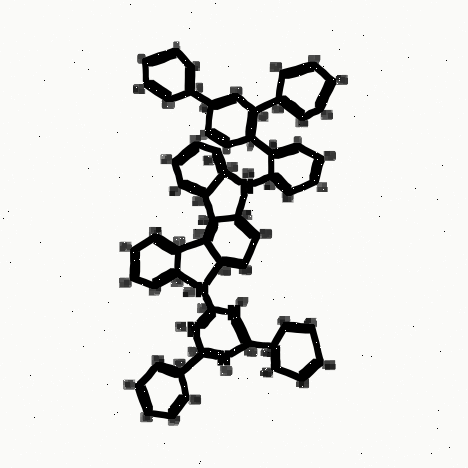 c1ccc(-c2ccc(-c3ccccc3-n3c4ccccc4c4c5c6ccccc6n(-c6nc(-c7ccccc7)nc(-c7ccccc7)n6)c5ccc43)c(-c3ccccc3)c2)cc1